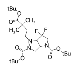 CC(C)(C)OC(=O)N1CC(F)(F)C2C1CN(C(=O)OC(C)(C)C)N2CCC(C)(C)C(=O)OC(C)(C)C